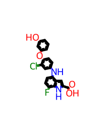 O=C(O)c1cc2c(Nc3ccc(Oc4cccc(O)c4)c(Cl)c3)ccc(F)c2[nH]1